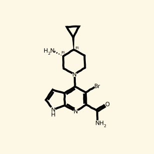 NC(=O)c1nc2[nH]c[c]c2c(N2CC[C@H](C3CC3)[C@@H](N)C2)c1Br